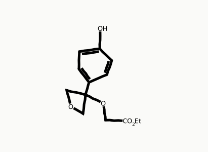 CCOC(=O)COC1(c2ccc(O)cc2)COC1